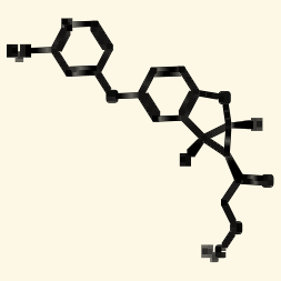 COCC(=O)[C@@H]1[C@H]2Oc3ccc(Oc4ccnc(N)c4)cc3[C@H]21